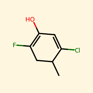 CC1CC(F)=C(O)C=C1Cl